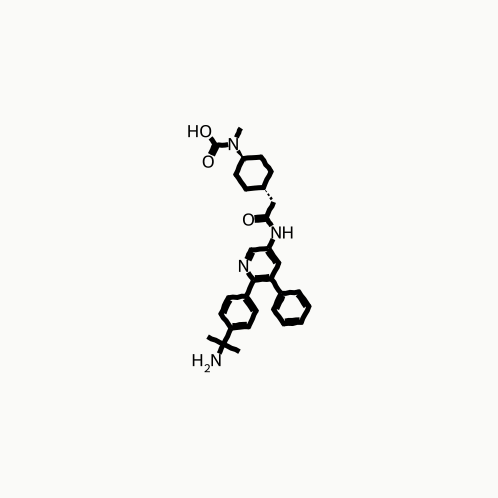 CN(C(=O)O)[C@H]1CC[C@H](CC(=O)Nc2cnc(-c3ccc(C(C)(C)N)cc3)c(-c3ccccc3)c2)CC1